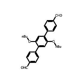 CCCCOc1cc(-c2ccc(C=O)cc2)c(OCCCC)cc1-c1ccc(C=O)cc1